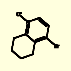 [O-][n+]1ccc(Br)c2c1CCCC2